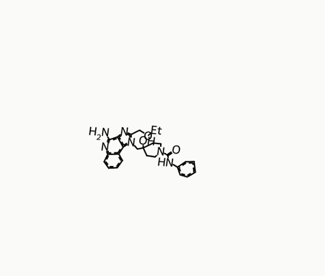 CCOCc1nc2c(N)nc3ccccc3c2n1CC1(O)CCN(C(=O)Nc2ccccc2)CC1